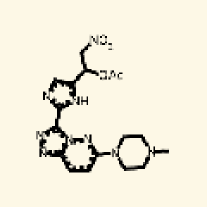 CC(=O)OC(C[N+](=O)[O-])c1cnc(-c2nnc3ccc(N4CCN(C)CC4)nn23)[nH]1